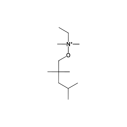 CC[N+](C)(C)OCC(C)(C)CC(C)C